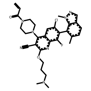 C=CC(=O)N1CCN(c2c(C#N)c(OCCCN(C)C)nc3c(F)c(-c4c(C)ccc5cnn(C)c45)c(Cl)cc23)CC1